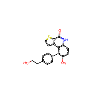 O=c1[nH]c2ccc(O)c(-c3ccc(CCO)cc3)c2c2ccsc12